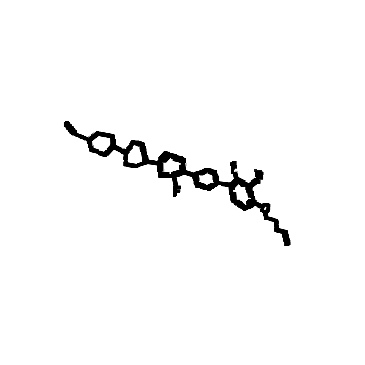 C=CCCCOc1ccc(-c2ccc(-c3ccc(C4=CCC(C5CCC(C=C)CC5)CC4)cc3F)cc2)c(F)c1F